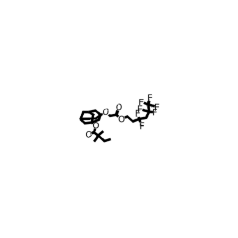 CCC(C)(C)C(=O)OC12CC3CC(CC(OCC(=O)OCCC(F)(F)CC(F)(F)C(F)(F)F)(C3)C1)C2